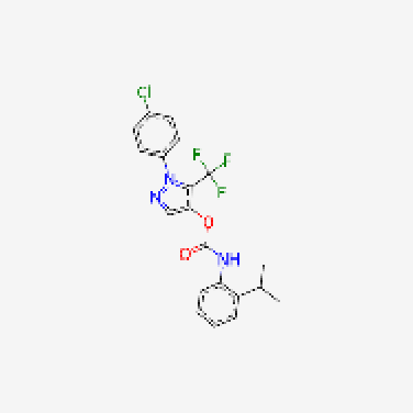 CC(C)c1ccccc1NC(=O)Oc1cnn(-c2ccc(Cl)cc2)c1C(F)(F)F